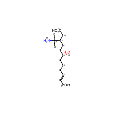 CCCCCCCCC=CCCCCCCC(CC(=O)O)C(C)(C)N.O